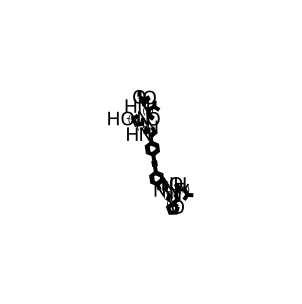 COC(=O)N[C@H](C(=O)N1C[C@@H](O)C[C@H]1c1ncc(-c2ccc(C#Cc3ccc4nc([C@@H]5C[C@@]6(CCCO6)CN5C(=O)[C@@H](C)C(C)C)[nH]c4c3)cc2)[nH]1)C(C)C